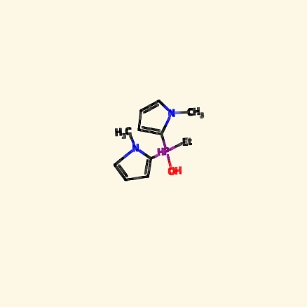 CC[PH](O)(c1cccn1C)c1cccn1C